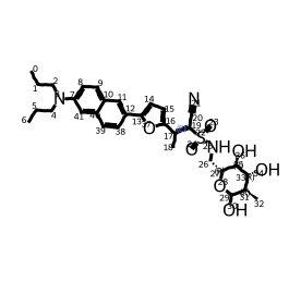 CCCN(CCC)c1ccc2cc(-c3ccc(/C(C)=C(\C#N)S(=O)(=O)NC[C@H]4OC(O)[C@H](C)[C@@H](O)[C@@H]4O)o3)ccc2c1